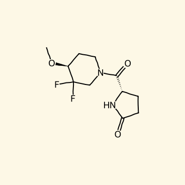 CO[C@H]1CCN(C(=O)[C@@H]2CCC(=O)N2)CC1(F)F